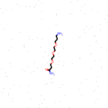 NCCCOCCOCCOCCC(N)=O